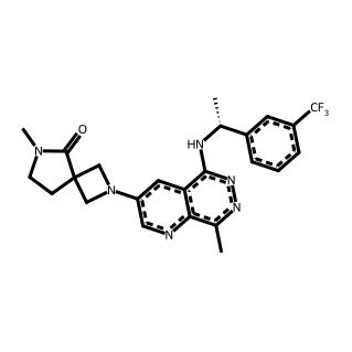 Cc1nnc(N[C@H](C)c2cccc(C(F)(F)F)c2)c2cc(N3CC4(CCN(C)C4=O)C3)cnc12